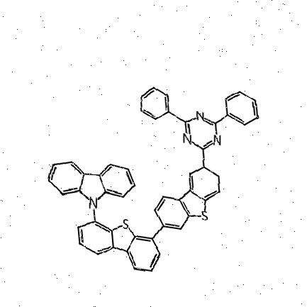 C1=c2sc3cc(-c4cccc5c4sc4c(-n6c7ccccc7c7ccccc76)cccc45)ccc3c2=CC(c2nc(-c3ccccc3)nc(-c3ccccc3)n2)C1